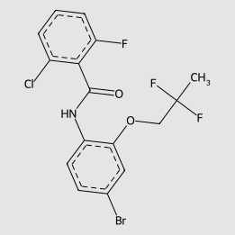 CC(F)(F)COc1cc(Br)ccc1NC(=O)c1c(F)cccc1Cl